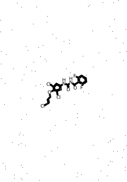 O=C(NC(=O)c1c(F)cccc1F)Nc1cc(Cl)c(OCC=CCl)c(Cl)c1